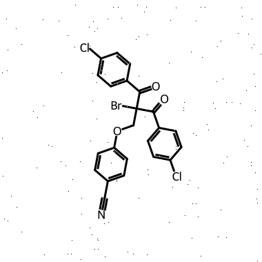 N#Cc1ccc(OCC(Br)(C(=O)c2ccc(Cl)cc2)C(=O)c2ccc(Cl)cc2)cc1